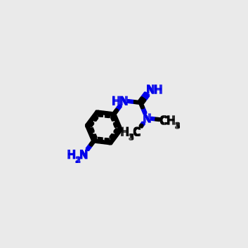 CN(C)C(=N)Nc1ccc(N)cc1